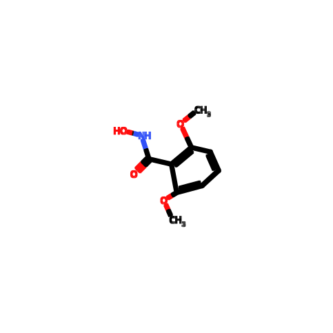 COc1cccc(OC)c1C(=O)NO